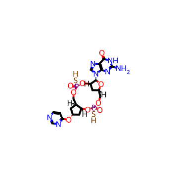 Nc1nc2c(ncn2[C@@H]2O[C@@H]3COP(=O)(S)O[C@H]4C[C@H](Oc5ccncn5)C[C@@H]4COP(=O)(S)O[C@@H]2C3)c(=O)[nH]1